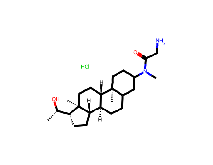 C[C@H](O)[C@H]1CC[C@H]2[C@@H]3CCC4CC(N(C)C(=O)CN)CC[C@]4(C)[C@H]3CC[C@]12C.Cl